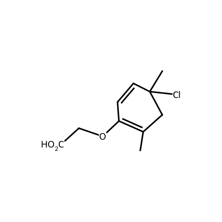 CC1=C(OCC(=O)O)C=CC(C)(Cl)C1